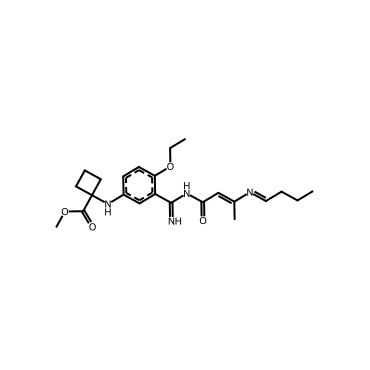 CCC/C=N/C(C)=C/C(=O)NC(=N)c1cc(NC2(C(=O)OC)CCC2)ccc1OCC